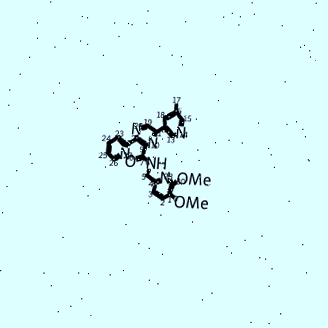 COc1ccc(CNC(=O)c2nc(-c3cncc(C)c3)cnc2-c2ccccn2)nc1OC